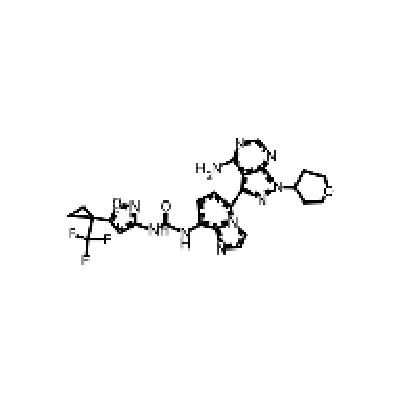 Nc1ncnc2c1c(-c1ccc(NC(=O)Nc3cc(C4(C(F)(F)F)CC4)on3)c3nccn13)nn2C1CCOCC1